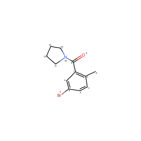 Cc1ccc(Br)cc1C(=O)N1CCCC1